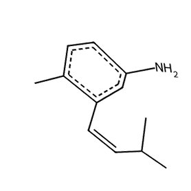 Cc1ccc(N)cc1/C=C\C(C)C